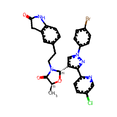 C[C@@H]1O[C@@H](c2cn(-c3ccc(Br)cc3)nc2-c2ccc(Cl)cn2)N(CCc2ccc3c(c2)CC(=O)N3)C1=O